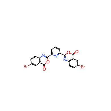 O=c1oc(-c2cccc(-c3nc4ccc(Br)cc4c(=O)o3)n2)nc2ccc(Br)cc12